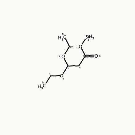 CCOC(CC(=O)O[SiH3])OCC